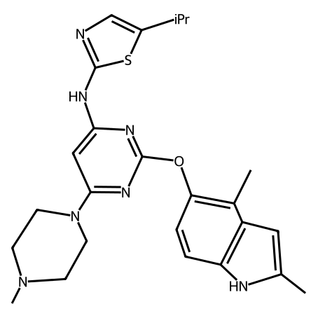 Cc1cc2c(C)c(Oc3nc(Nc4ncc(C(C)C)s4)cc(N4CCN(C)CC4)n3)ccc2[nH]1